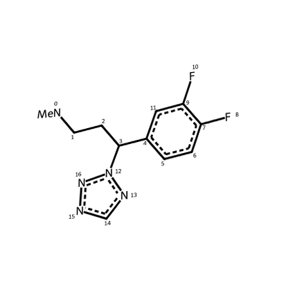 CNCCC(c1ccc(F)c(F)c1)n1ncnn1